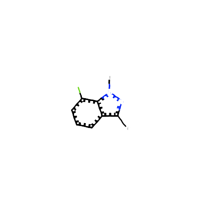 CC(C)c1nn(C(C)C)c2c(F)cccc12